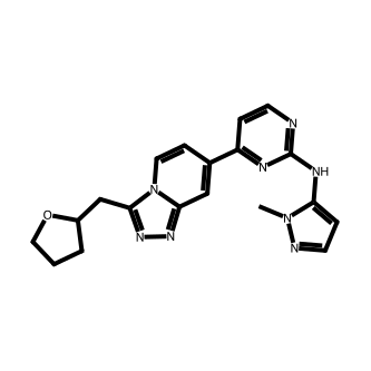 Cn1nccc1Nc1nccc(-c2ccn3c(CC4CCCO4)nnc3c2)n1